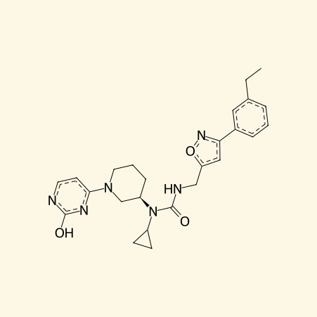 CCc1cccc(-c2cc(CNC(=O)N(C3CC3)[C@@H]3CCCN(c4ccnc(O)n4)C3)on2)c1